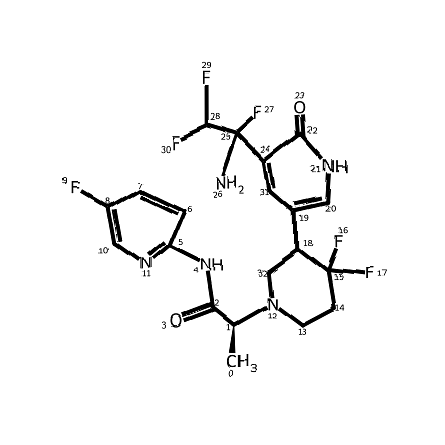 C[C@@H](C(=O)Nc1ccc(F)cn1)N1CCC(F)(F)C(c2c[nH]c(=O)c(C(N)(F)C(F)F)c2)C1